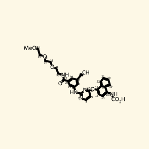 C#Cc1cc(Nc2nccc(Oc3ccc(NC(=O)O)c4ccccc34)n2)cc(C(=O)NCCOCCOCCOC)c1